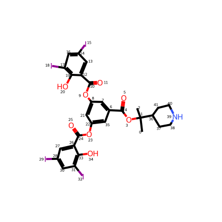 CC(C)(OC(=O)c1cc(OC(=O)c2cc(I)cc(I)c2O)cc(OC(=O)c2cc(I)cc(I)c2O)c1)C1CCNCC1